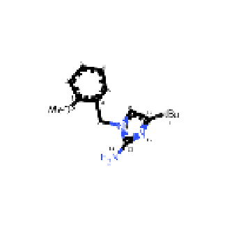 COc1ccccc1Cn1cc(C(C)(C)C)nc1N